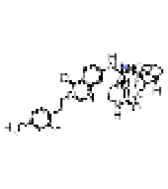 Cc1ccc(CCn2cnc3cc(N/C(=N/[C@H]4CC5C[C@H](C4C)C5(C)C)N4CCNC(=O)C4)ccc3c2=O)c(F)c1